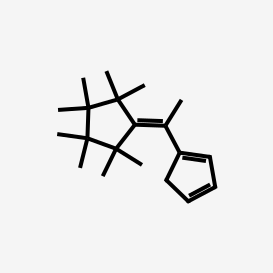 CC(C1=CC=CC1)=C1C(C)(C)C(C)(C)C(C)(C)C1(C)C